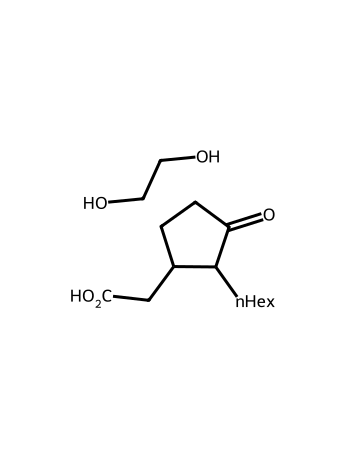 CCCCCCC1C(=O)CCC1CC(=O)O.OCCO